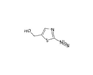 N#[N+]c1ncc(CO)s1